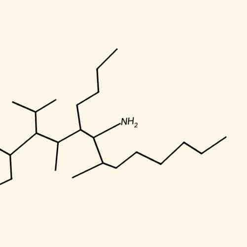 CCCCCCC(C)C(N)C(CCCC)C(C)C(C(C)C)C(C)CC